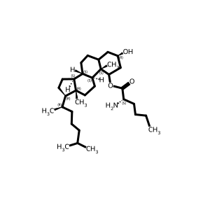 CCCC[C@H](N)C(=O)OC1C[C@H](O)CC2CC[C@@H]3[C@H](CC[C@]4(C)[C@@H]([C@H](C)CCCC(C)C)CC[C@@H]34)[C@]21C